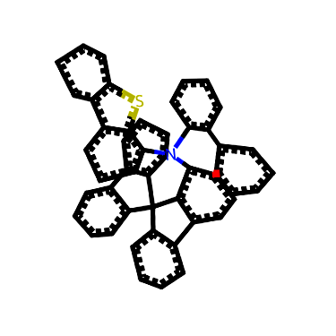 c1ccc(-c2ccccc2N(c2cccc3c2C2(c4ccccc4-c4ccccc42)c2ccccc2-3)c2cccc3c2sc2ccccc23)cc1